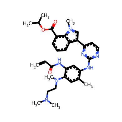 C=CC(=O)Nc1cc(Nc2nccc(-c3cn(C)c4c(C(=O)OC(C)C)cccc34)n2)c(C)cc1N(C)CCN(C)C